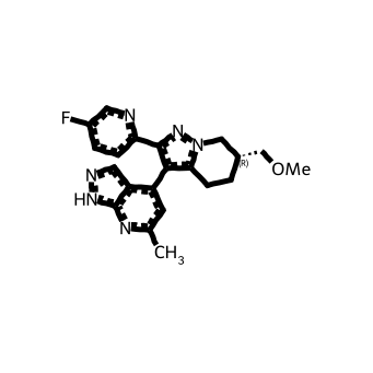 COC[C@@H]1CCc2c(-c3cc(C)nc4[nH]ncc34)c(-c3ccc(F)cn3)nn2C1